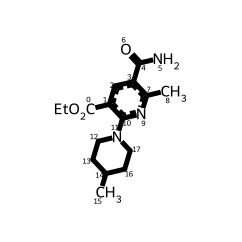 CCOC(=O)c1cc(C(N)=O)c(C)nc1N1CCC(C)CC1